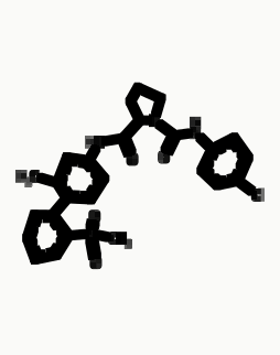 Cc1cc(NC(=O)C2CCCN2C(=O)Nc2ccc(Cl)cc2)ccc1-c1ccccc1S(C)(=O)=O